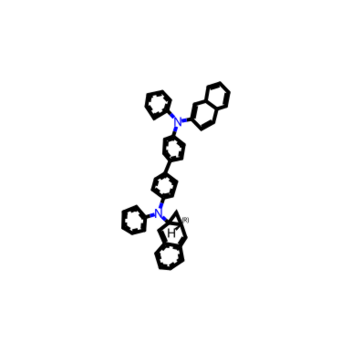 C1=CC2C=CC(N(c3ccccc3)c3ccc(-c4ccc(N(c5ccccc5)C56C=c7ccccc7=C[C@H]5C6)cc4)cc3)=CC2C=C1